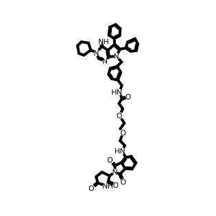 N=c1c2c(-c3ccccc3)c(-c3ccccc3)n(Cc3cccc(CNC(=O)CCOCCOCCNc4cccc5c4C(=O)N(C4CCC(=O)NC4=O)C5=O)c3)c2ncn1C1CCCCC1